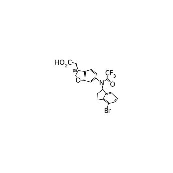 O=C(O)C[C@@H]1COc2cc(N(C(=O)C(F)(F)F)C3CCc4c(Br)cccc43)ccc21